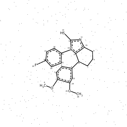 COc1ccc(C2CCCc3nc(S)n(-c4ccc(F)cc4)c32)cc1OC